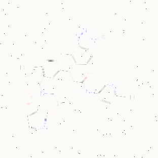 CC[C@@H]1CN(Cc2cc(C(CC(=O)Nc3ccc(C)nc3)c3ccc4c(nnn4CC)c3C)ccc2C)S(=O)(=O)c2cccnc2O1